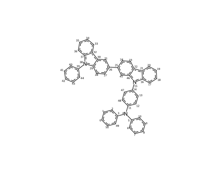 c1ccc(N(c2ccccc2)c2ccc(-n3c4ccccc4c4ccc(-c5ccc6c(c5)c5ccccc5n6-c5ccccc5)cc43)cc2)cc1